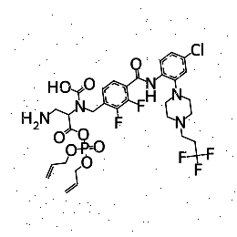 C=CCOP(=O)(OCC=C)OC(=O)C(CN)N(Cc1ccc(C(=O)Nc2ccc(Cl)cc2N2CCN(CCC(F)(F)F)CC2)c(F)c1F)C(=O)O